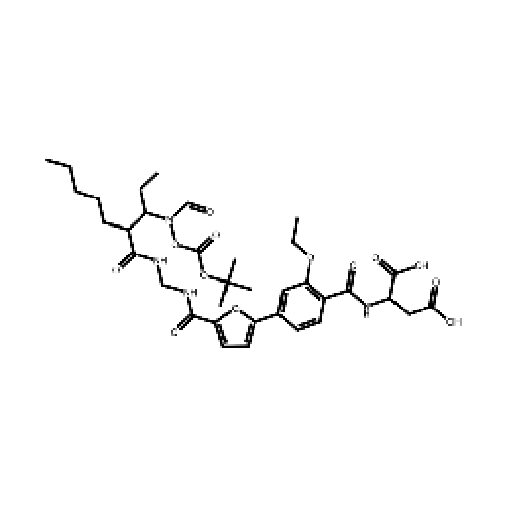 CCCCCC(C(=O)NCNC(=O)c1ccc(-c2ccc(C(=O)NC(CC(=O)O)C(=O)O)c(OCC)c2)o1)C(CC)N(C=O)OC(=O)OC(C)(C)C